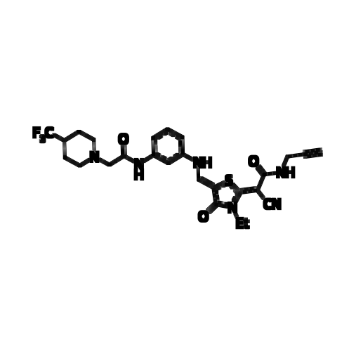 C#CCNC(=O)C(C#N)=c1sc(=CNc2cccc(NC(=O)CN3CCC(C(F)(F)F)CC3)c2)c(=O)n1CC